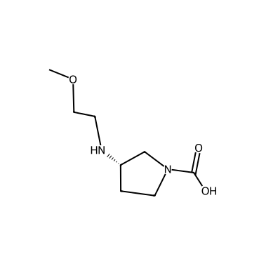 COCCN[C@H]1CCN(C(=O)O)C1